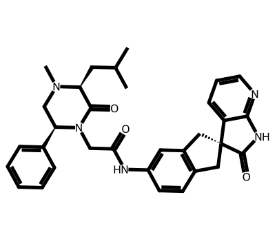 CC(C)C[C@H]1C(=O)N(CC(=O)Nc2ccc3c(c2)C[C@@]2(C3)C(=O)Nc3ncccc32)[C@@H](c2ccccc2)CN1C